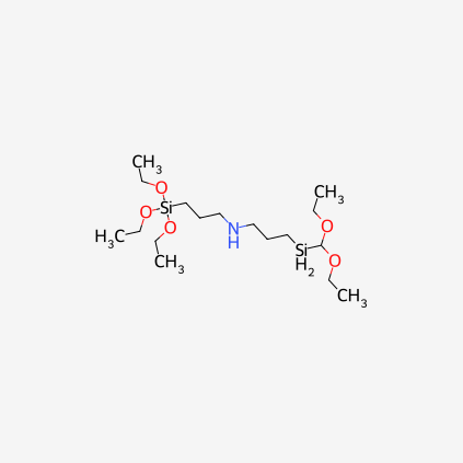 CCOC(OCC)[SiH2]CCCNCCC[Si](OCC)(OCC)OCC